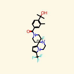 Cc1cc(C(=O)N2CC[C@@]3(c4ccc(C(F)(F)F)n4CCN3C)[C@@H](F)C2)ccc1C(C)(C)O